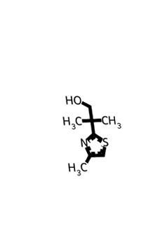 Cc1csc(C(C)(C)CO)n1